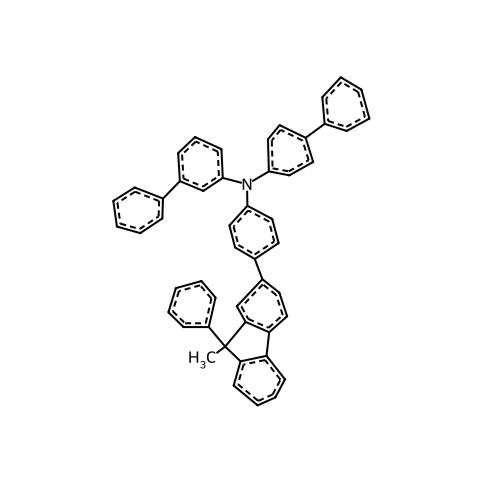 CC1(c2ccccc2)c2ccccc2-c2ccc(-c3ccc(N(c4ccc(-c5ccccc5)cc4)c4cccc(-c5ccccc5)c4)cc3)cc21